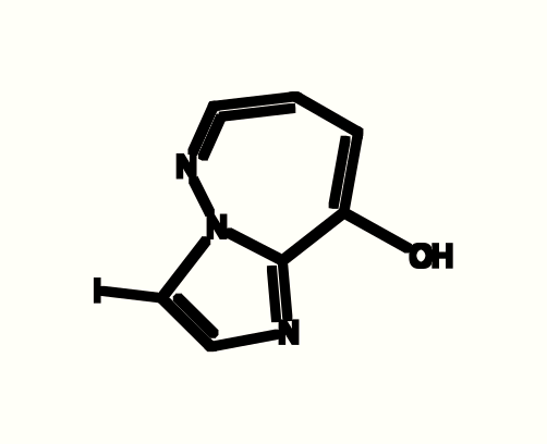 OC1=CC=C=Nn2c(I)cnc21